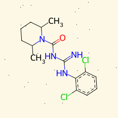 CC1CCCC(C)N1C(=O)NC(=N)Nc1c(Cl)cccc1Cl